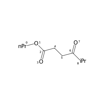 CCCOC(=O)CCC(=O)C(C)C